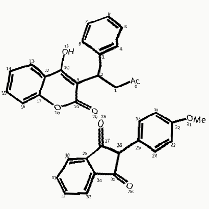 CC(=O)CC(c1ccccc1)c1c(O)c2ccccc2oc1=O.COc1ccc(C2C(=O)c3ccccc3C2=O)cc1